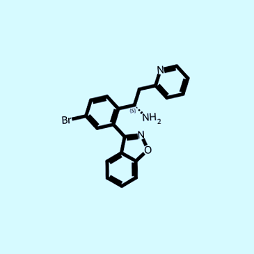 N[C@@H](Cc1ccccn1)c1ccc(Br)cc1-c1noc2ccccc12